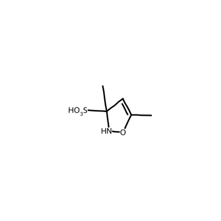 CC1=CC(C)(S(=O)(=O)O)NO1